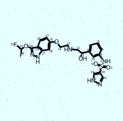 O=S(=O)(Nc1cccc([C@@H](O)CNCCOc2ccc3c(OC(F)F)n[nH]c3c2)c1)c1cn[nH]c1